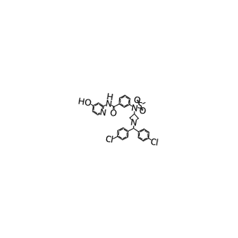 CS(=O)(=O)N(c1cccc(C(=O)Nc2cc(O)ccn2)c1)C1CN(C(c2ccc(Cl)cc2)c2ccc(Cl)cc2)C1